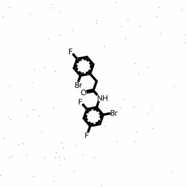 O=C(Cc1ccc(F)cc1Br)Nc1c(F)cc(F)cc1Br